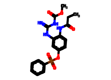 CCC(=O)Nc1ccc(OS(=O)(=O)c2ccccc2)cc1NC(=N)NC(=O)OC